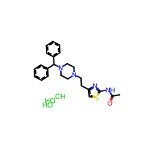 CC(=O)Nc1nc(CCN2CCN(C(c3ccccc3)c3ccccc3)CC2)cs1.Cl.Cl.Cl